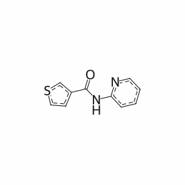 O=C(Nc1ccccn1)c1ccsc1